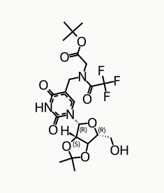 CC(C)(C)OC(=O)CN(Cc1cn([C@@H]2O[C@H](CO)C3OC(C)(C)O[C@@H]32)c(=O)[nH]c1=O)C(=O)C(F)(F)F